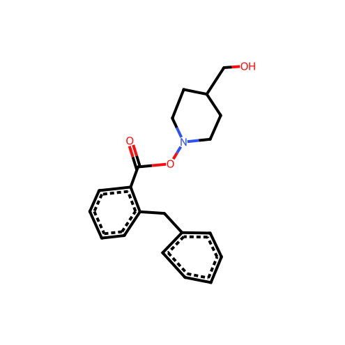 O=C(ON1CCC(CO)CC1)c1ccccc1Cc1ccccc1